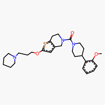 COc1ccccc1C1CCN(C(=O)N2CCc3sc(OCCCN4CCCCC4)cc3C2)CC1